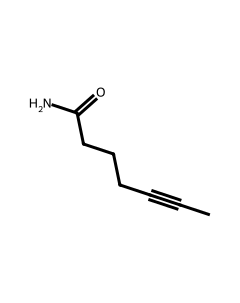 CC#CCCCC(N)=O